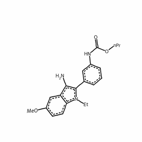 CCCOC(=O)Nc1cccc(-c2c(N)c3cc(OC)ccc3n2CC)c1